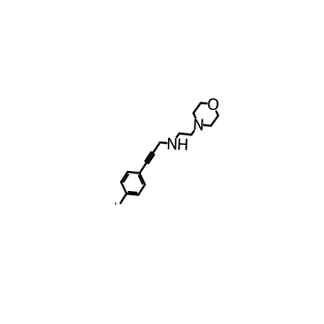 [CH2]c1ccc(C#CCNCCN2CCOCC2)cc1